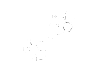 CC(O)c1c(F)ccc(OCCCCCC(C(N)=O)C2CNCCO2)c1[N+](=O)[O-]